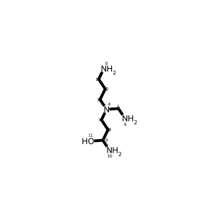 NCCCN(CN)CCC(N)O